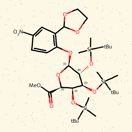 COC(=O)[C@H]1O[C@@H](Oc2ccc([N+](=O)[O-])cc2C2OCCO2)[C@H](O[Si](C)(C)C(C)(C)C)[C@@H](O[Si](C)(C)C(C)(C)C)[C@H]1O[Si](C)(C)C(C)(C)C